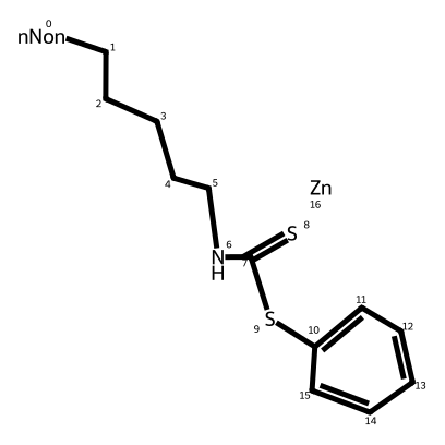 CCCCCCCCCCCCCCNC(=S)Sc1ccccc1.[Zn]